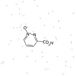 O=C(O)c1ccc[n+]([O-])n1